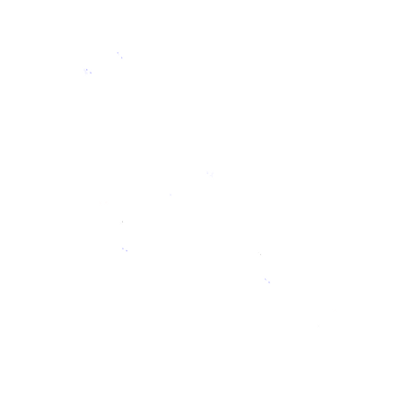 COC(=O)CCNC(=O)c1ccc2c(c1)nc(-c1ccc(C(=N)N)cc1)n2CCC(=O)N1CC[S+]([O-])CC1